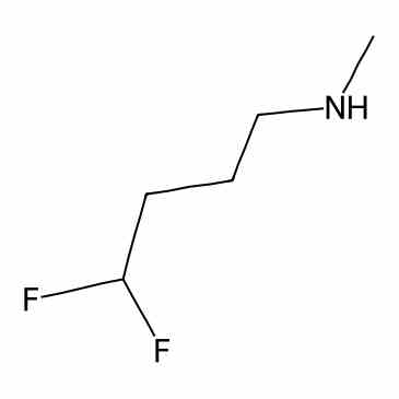 CNCCCC(F)F